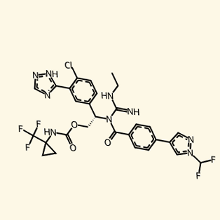 CCNC(=N)N(C(=O)c1ccc(-c2cnn(C(F)F)c2)cc1)[C@H](COC(=O)NC1(C(F)(F)F)CC1)c1ccc(Cl)c(-c2ncn[nH]2)c1